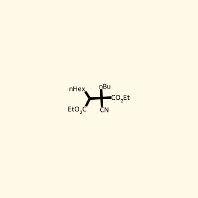 CCCCCCC(C(=O)OCC)C(C#N)(CCCC)C(=O)OCC